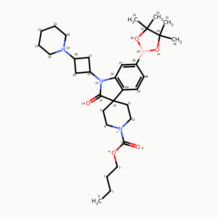 CCCCOC(=O)N1CCC2(CC1)C(=O)N(C1CC(N3CCCCC3)C1)c1cc(B3OC(C)(C)C(C)(C)O3)ccc12